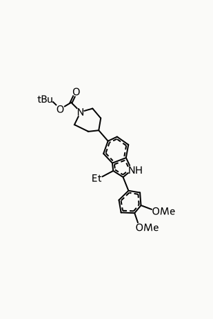 CCc1c(-c2ccc(OC)c(OC)c2)[nH]c2ccc(C3CCN(C(=O)OC(C)(C)C)CC3)cc12